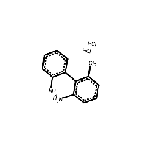 Cl.Cl.Nc1ccccc1-c1c(N)cccc1O